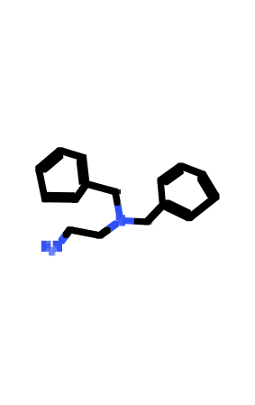 NCCN([CH]c1ccccc1)[CH]c1ccccc1